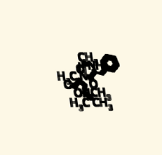 CC(=O)N[C@@H](Cc1ccccc1)C(=O)N[C@@](C)(CCC(C)(C)C)C(=O)O